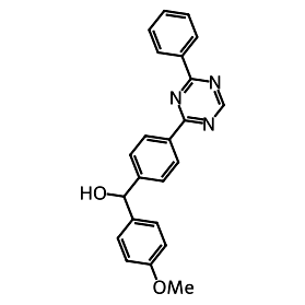 COc1ccc(C(O)c2ccc(-c3ncnc(-c4ccccc4)n3)cc2)cc1